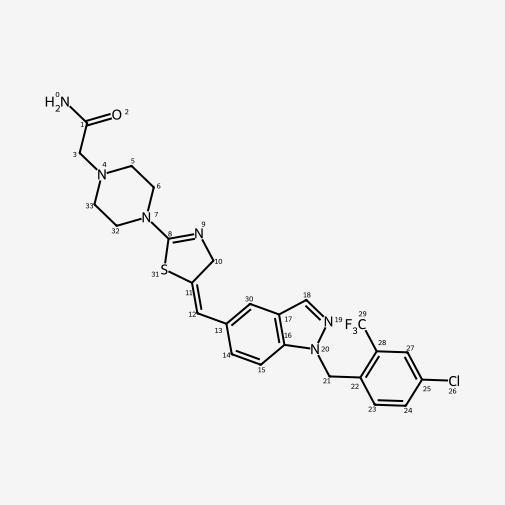 NC(=O)CN1CCN(C2=NCC(=Cc3ccc4c(cnn4Cc4ccc(Cl)cc4C(F)(F)F)c3)S2)CC1